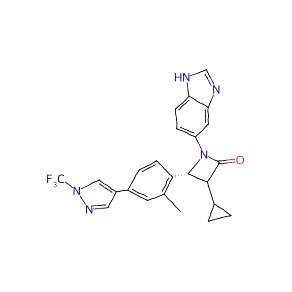 Cc1cc(-c2cnn(C(F)(F)F)c2)ccc1[C@H]1C(C2CC2)C(=O)N1c1ccc2[nH]cnc2c1